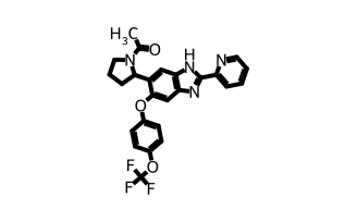 CC(=O)N1CCCC1c1cc2[nH]c(-c3ccccn3)nc2cc1Oc1ccc(OC(F)(F)F)cc1